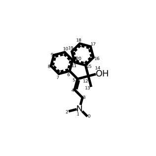 CN(C)CC=C(c1ccccc1)C(C)(O)c1ccccc1